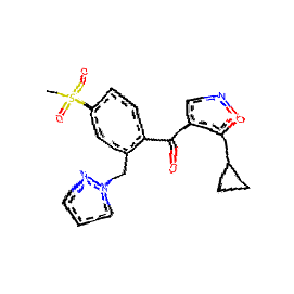 CS(=O)(=O)c1ccc(C(=O)c2cnoc2C2CC2)c(Cn2cccn2)c1